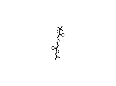 CC(C)COC(=O)CCNCC(=O)OC(C)(C)C